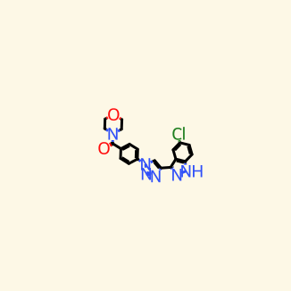 O=C(c1ccc(-n2cc(-c3n[nH]c4ccc(Cl)cc34)nn2)cc1)N1CCOCC1